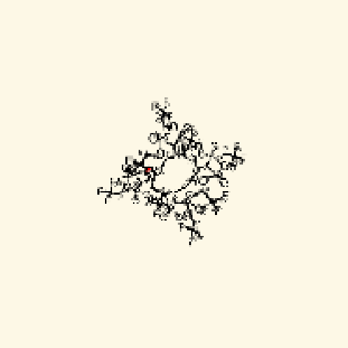 O=P(O)(O)C(N1CCN(C(P(=O)(O)O)P(=O)(OCC(F)(F)F)OCC(F)(F)F)CCN(C(P(=O)(O)O)P(=O)(OCC(F)(F)F)OCC(F)(F)F)CCN(C(P(=O)(O)O)P(=O)(OCC(F)(F)F)OCC(F)(F)F)CC1)P(=O)(OCC(F)(F)F)OCC(F)(F)F